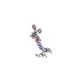 C=C(CC)CCC1=C(CN2CCN(c3ccc(C(=O)NS(=O)(=O)c4ccc(N[C@H](CCN5CCOCC5)CSc5ccccc5)c(S(=O)(=O)C(F)(F)F)c4)cc3)CC2)CCC(C)(C)C1